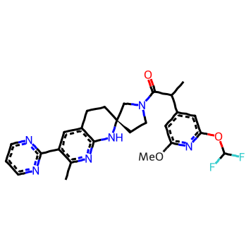 COc1cc(C(C)C(=O)N2CC[C@@]3(CCc4cc(-c5ncccn5)c(C)nc4N3)C2)cc(OC(F)F)n1